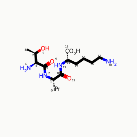 CC(C)[C@H](NC(=O)[C@@H](N)[C@@H](C)O)C(=O)N[C@@H](CCCCN)C(=O)O